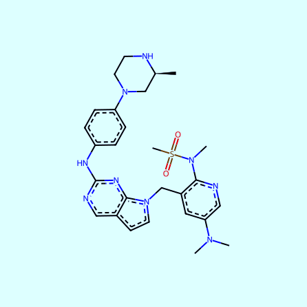 C[C@H]1CN(c2ccc(Nc3ncc4ccn(Cc5cc(N(C)C)cnc5N(C)S(C)(=O)=O)c4n3)cc2)CCN1